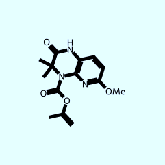 C=C(C)OC(=O)N1c2nc(OC)ccc2NC(=O)C1(C)C